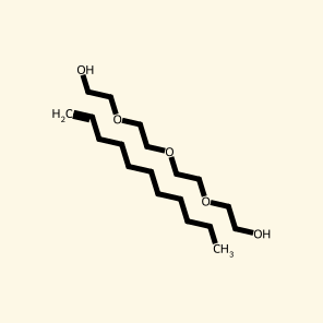 C=CCCCCCCCCC.OCCOCCOCCOCCO